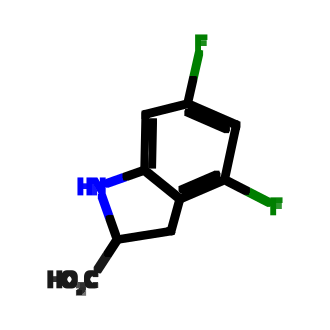 O=C(O)C1Cc2c(F)cc(F)cc2N1